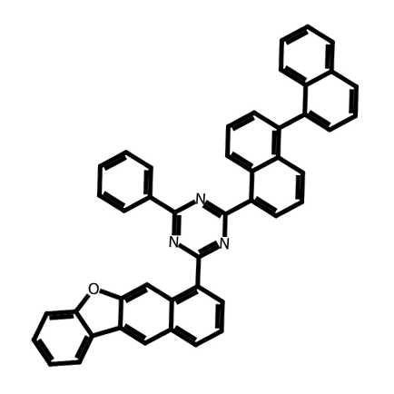 c1ccc(-c2nc(-c3cccc4cc5c(cc34)oc3ccccc35)nc(-c3cccc4c(-c5cccc6ccccc56)cccc34)n2)cc1